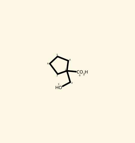 O=C(O)C1(CO)CCCC1